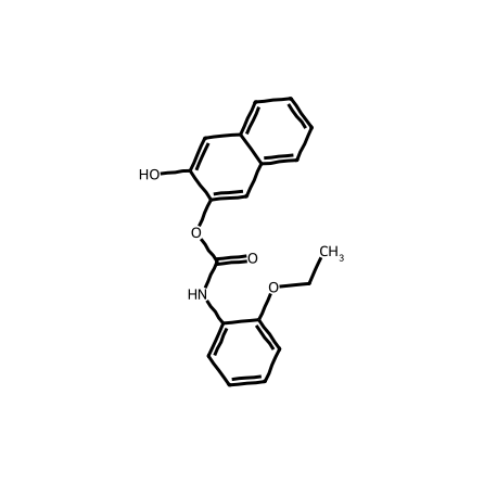 CCOc1ccccc1NC(=O)Oc1cc2ccccc2cc1O